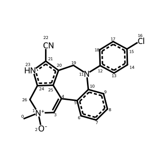 C[N+]1([O-])C=C2c3ccccc3N(c3ccc(Cl)cc3)Cc3c(C#N)[nH]c(c32)C1